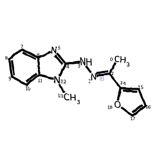 C/C(=N\Nc1nc2ccccc2n1C)c1ccco1